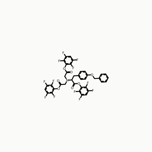 O=C(CN(CC(=O)Oc1c(F)c(F)cc(F)c1F)C(Cc1ccc(OCc2ccccc2)cc1)C(=O)Oc1c(F)c(F)cc(F)c1F)Oc1c(F)c(F)cc(F)c1F